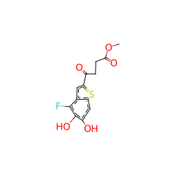 COC(=O)CCC(=O)c1cc2c(F)c(O)c(O)cc2s1